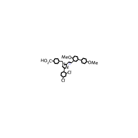 COc1ccc(-c2ccc(OC)c(/C=C/c3nc(-c4ccc(Cl)cc4Cl)cn3Cc3ccc(C(=O)O)cc3)c2)cc1